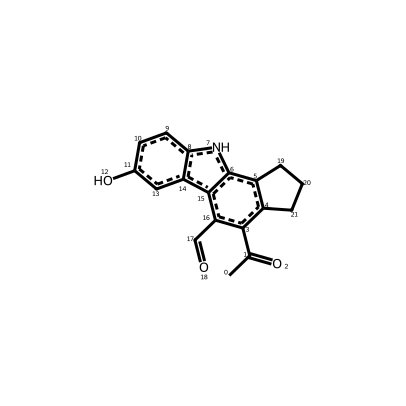 CC(=O)c1c2c(c3[nH]c4ccc(O)cc4c3c1C=O)CCC2